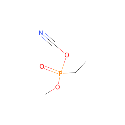 CCP(=O)(OC)OC#N